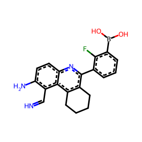 N=Cc1c(N)ccc2nc(-c3cccc(B(O)O)c3F)c3c(c12)CCCC3